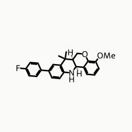 COc1cccc2c1OC[C@H]1[C@@H]2Nc2ccc(-c3ccc(F)cc3)cc2C1(C)C